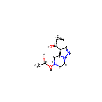 COC(=O)c1cnn2c1CN(OC(=O)C(F)(F)F)CC2